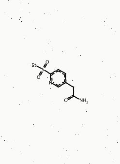 CCS(=O)(=O)c1ccc([CH]C(N)=O)cn1